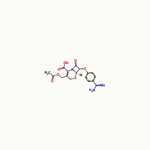 CC(=O)OCC1=C(C(=O)O)N2C(=O)[C@@H](Oc3ccc(C(=N)N)cc3)[C@H]2SC1